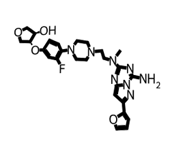 CN(CCN1CCN(c2ccc(O[C@@H]3COC[C@H]3O)cc2F)CC1)c1nc(N)n2nc(-c3ccco3)cc2n1